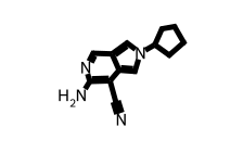 N#Cc1c(N)ncc2cn(C3CCCC3)cc12